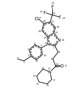 [CH2]Cc1ccc(-n2c(CCC(=O)N3CCCCC3)nc3cc(C(F)(F)F)c(Cl)cc32)cc1